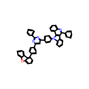 c1ccc(-c2nc(-c3ccc(-c4cccc5oc6ccccc6c45)cc3)cc(-c3ccc(-n4c5ccccc5c5c(-c6ccccc6)nc6ccccc6c54)cc3)n2)cc1